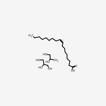 CC(O)CO.CCCCCCCC/C=C\CCCCCCCC(=O)O.OCC(O)CO